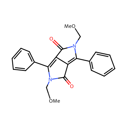 COCN1C(=O)C2=C(c3ccccc3)N(COC)C(=O)C2=C1c1ccccc1